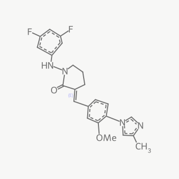 COc1cc(/C=C2\CCCN(Nc3cc(F)cc(F)c3)C2=O)ccc1-n1cnc(C)c1